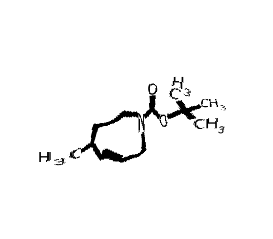 CC1C=CCN(C(=O)OC(C)(C)C)CC1